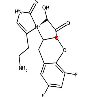 NCCC1=CNC(=S)[N@@+]1(C1COc2c(F)cc(F)cc2C1)C(O)C(=O)[O-]